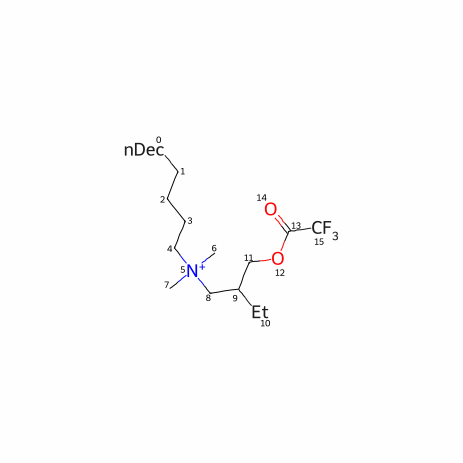 CCCCCCCCCCCCCC[N+](C)(C)CC(CC)COC(=O)C(F)(F)F